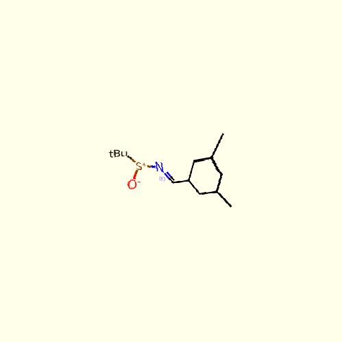 CC1CC(C)CC(/C=N/[S+]([O-])C(C)(C)C)C1